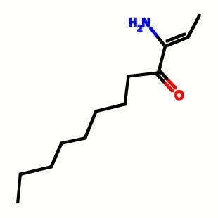 CC=C(N)C(=O)CCCCCCCC